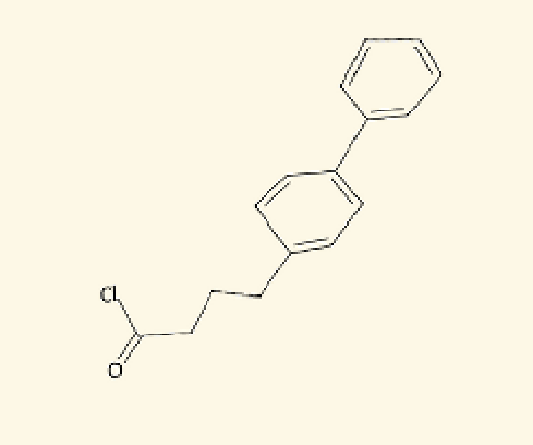 O=C(Cl)CCCc1ccc(-c2ccccc2)cc1